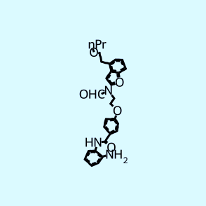 CCCOCCc1cccc2oc(N(C=O)CCOc3ccc(C(=O)Nc4ccccc4N)cc3)cc12